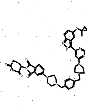 CC1(Oc2ccc3n[nH]c(-c4cc(N5CCN(Cc6ccc(CN7CCN(c8ccc9c(c8)C(=O)N(C8CCC(=O)NC8=O)C9=O)CC7)cc6)CC5)ncn4)c3c2)CC1